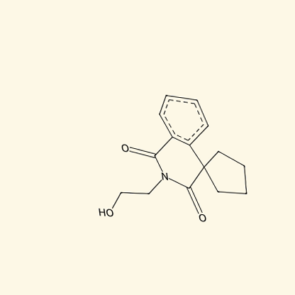 O=C1c2ccccc2C2(CCCC2)C(=O)N1CCO